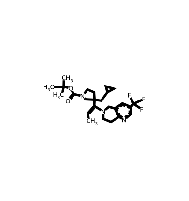 C/C=C(\N1CCc2ncc(C(F)(F)F)cc2C1)C1(CC2CC2)CCN(C(=O)OC(C)(C)C)C1